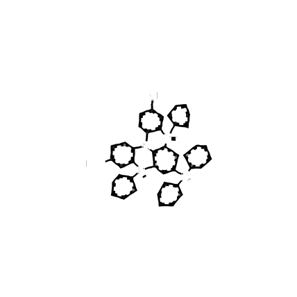 Cc1ccc2c(c1)P(=S)(c1ccccc1)c1cc(P(=S)(c3ccccc3)c3ccccc3)cc3c1N2c1ccc(C)cc1P3(=S)c1ccccc1